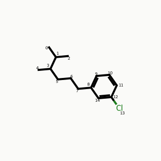 C[C](C)C(C)CCCc1cccc(Cl)c1